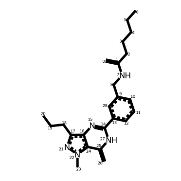 C=C(CCCCC)NCc1cccc(C2=Nc3c(CCC)nn(C)c3C(=C)N2)c1